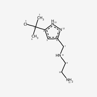 CC(C)(Cl)c1cc(CNCCN)n[nH]1